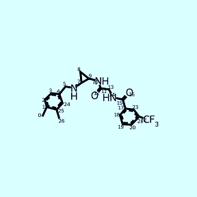 Cc1ccc(CNC2CC2NC(=O)CNC(=O)c2cccc(C(F)(F)F)c2)cc1C